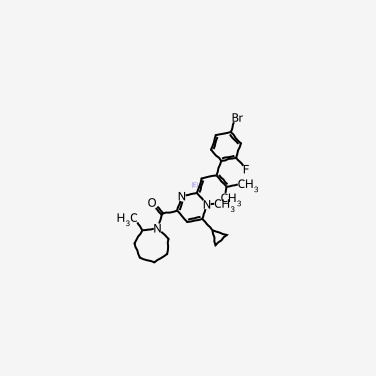 CC(C)=C(/C=C1/N=C(C(=O)N2CCCCCC2C)C=C(C2CC2)N1C)c1ccc(Br)cc1F